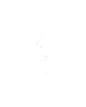 COC[C@H]1C[C@H]2CCCC[C@H]2[C@@H]1/C=C/c1ccc(-c2cccc(F)c2)cn1